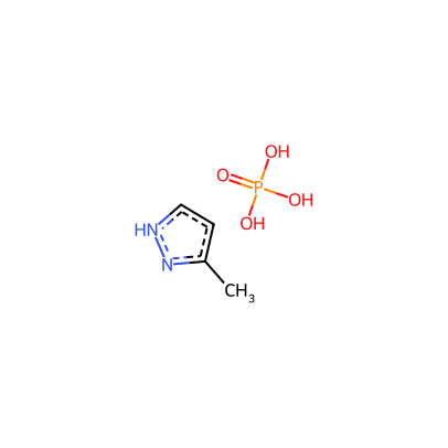 Cc1cc[nH]n1.O=P(O)(O)O